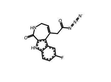 [N-]=[N+]=NC(=O)CC1=CCNC(=O)c2[nH]c3ccc(F)cc3c21